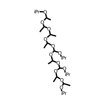 CC(C)OC(C)OC(C)OC(C)OC(C)OC(OC(C)C)OC(C)OC(OC(C)C)OC(C)OC(C)OC(C)C